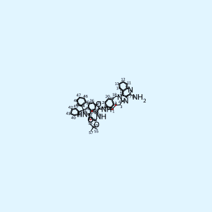 CCCCc1nc2c(N)nc3ccccc3c2n1Cc1ccc(NC(=O)[C@H](CC(=O)NC(c2ccccc2)(c2ccccc2)c2ccccc2)NC(=O)OC(C)(C)C)cc1